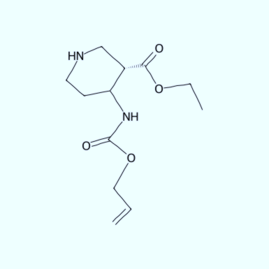 C=CCOC(=O)NC1CCNC[C@@H]1C(=O)OCC